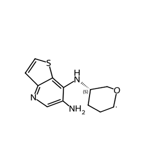 Nc1cnc2ccsc2c1N[C@H]1CC[CH]OC1